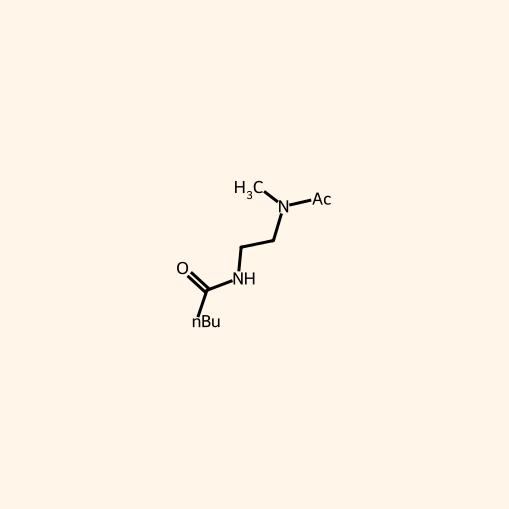 CCCCC(=O)NCCN(C)C(C)=O